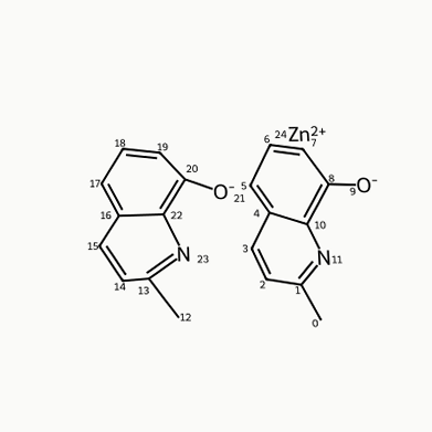 Cc1ccc2cccc([O-])c2n1.Cc1ccc2cccc([O-])c2n1.[Zn+2]